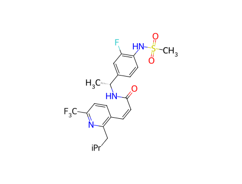 CC(C)Cc1nc(C(F)(F)F)ccc1/C=C\C(=O)N[C@H](C)c1ccc(NS(C)(=O)=O)c(F)c1